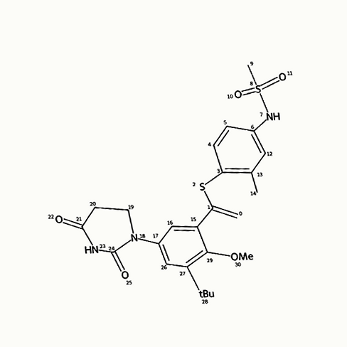 C=C(Sc1ccc(NS(C)(=O)=O)cc1C)c1cc(N2CCC(=O)NC2=O)cc(C(C)(C)C)c1OC